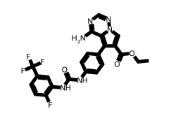 CCOC(=O)c1cn2ncnc(N)c2c1-c1ccc(NC(=O)Nc2cc(C(F)(F)F)ccc2F)cc1